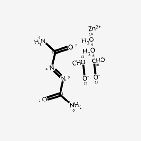 NC(=O)N=NC(N)=O.O.O.O=C[O-].O=C[O-].[Zn+2]